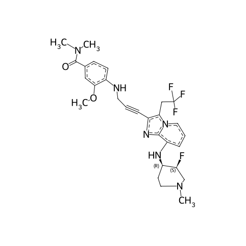 COc1cc(C(=O)N(C)C)ccc1NCC#Cc1nc2c(N[C@@H]3CCN(C)C[C@@H]3F)cccn2c1CC(F)(F)F